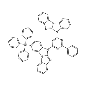 c1ccc(-c2nc(-n3c4ccccc4n4c5ccccc5nc34)cc(-n3c4ccc([Si](c5ccccc5)(c5ccccc5)c5ccccc5)cc4n4c5ccccc5nc34)n2)cc1